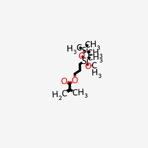 C=C(C)C(=O)OCCC[Si](C)(OC)O[Si](C)(C)C